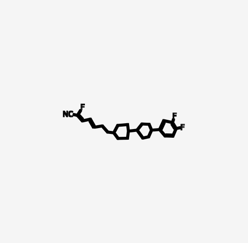 N#CC(F)=CC=CCCC1CCC(C2CCC(c3ccc(F)c(F)c3)CC2)CC1